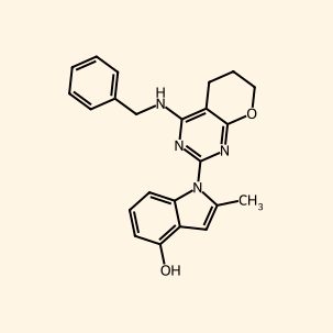 Cc1cc2c(O)cccc2n1-c1nc(NCc2ccccc2)c2c(n1)OCCC2